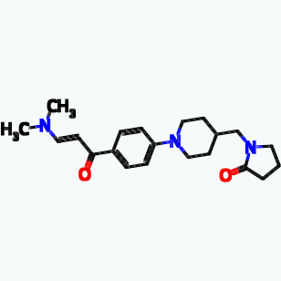 CN(C)C=CC(=O)c1ccc(N2CCC(CN3CCCC3=O)CC2)cc1